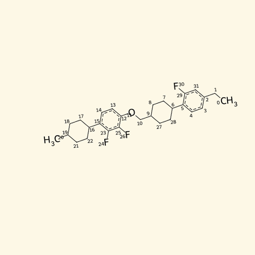 CCc1ccc(C2CCC(COc3ccc(C4CCC(C)CC4)c(F)c3F)CC2)c(F)c1